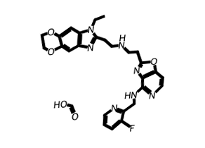 CCn1c(CCNCCc2nc3c(NCc4ncccc4F)nccc3o2)nc2cc3c(cc21)OCCO3.O=CO